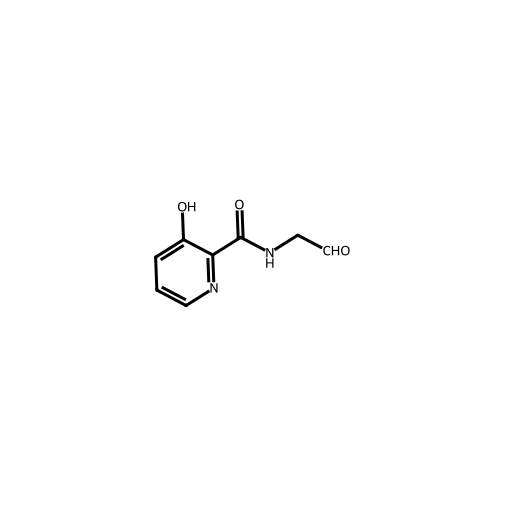 O=CCNC(=O)c1ncccc1O